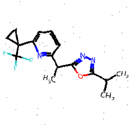 CC(C)c1nnc(C(C)c2cccc(C3(C(F)(F)F)CC3)n2)o1